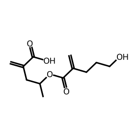 C=C(CC(C)OC(=O)C(=C)CCCO)C(=O)O